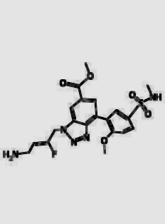 CNS(=O)(=O)c1ccc(OC)c(-c2cc(C(=O)OC)cc3c2nnn3C/C(F)=C/CN)c1